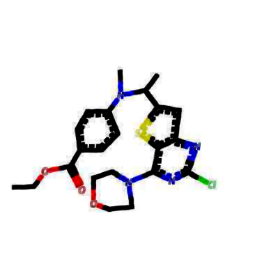 CCOC(=O)c1ccc(N(C)C(C)c2cc3nc(Cl)nc(N4CCOCC4)c3s2)cc1